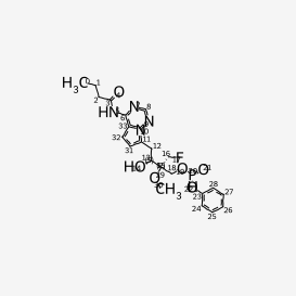 CCCC(=O)Nc1ncnn2c(C[C@H](O)[C@@](CF)(CO[PH](=O)Oc3ccccc3)OC)ccc12